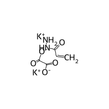 C=CC(=O)NN.O=C([O-])C(=O)[O-].[K+].[K+]